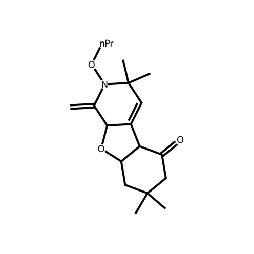 C=C1C2OC3CC(C)(C)CC(=O)C3C2=CC(C)(C)N1OCCC